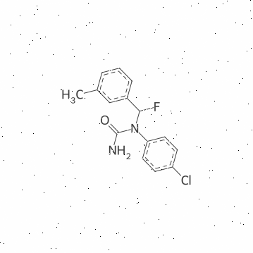 Cc1cccc(C(F)N(C(N)=O)c2ccc(Cl)cc2)c1